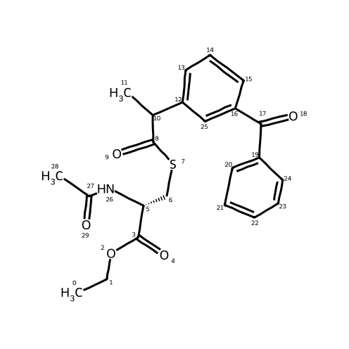 CCOC(=O)[C@@H](CSC(=O)C(C)c1cccc(C(=O)c2ccccc2)c1)NC(C)=O